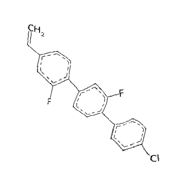 C=Cc1ccc(-c2ccc(-c3ccc(Cl)cc3)c(F)c2)c(F)c1